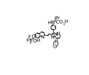 CC(C)[C@H](Nc1ccc(-c2c(/C=C/c3ccc4ccccc4n3)nc3c(N4CCOCC4)ccnn23)cc1)C(=O)O.O=C(O)C(F)(F)F